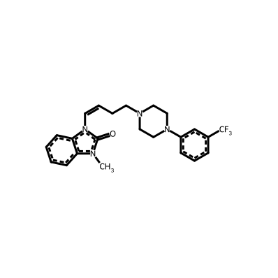 Cn1c(=O)n(/C=C\CCN2CCN(c3cccc(C(F)(F)F)c3)CC2)c2ccccc21